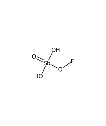 [O]=[Sb]([OH])([OH])[O]F